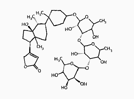 CC1OC(O[C@H]2C(O)C(C)OC(O[C@H]3C(O)C(C)OC(OC4CCC(C)(C5CCC6(C)[C@@H](C7=CC(=O)OC7)CC[C@]6(O)[C@@H]5C)CC4)[C@H]3O)[C@H]2O)[C@@H](O)[C@@H](O)C1O